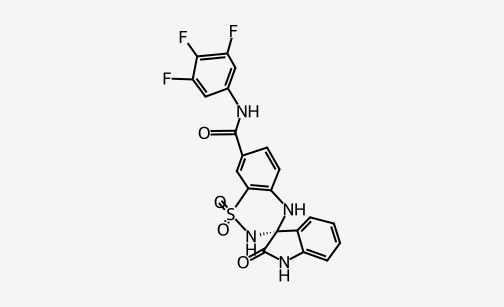 O=C(Nc1cc(F)c(F)c(F)c1)c1ccc2c(c1)S(=O)(=O)N[C@@]1(N2)C(=O)Nc2ccccc21